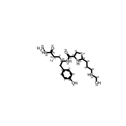 C[C@@H](C[C@H](Cc1ccc(O)cc1)NC(=O)C1CSC(CCCNCO)N1)C(=O)NN